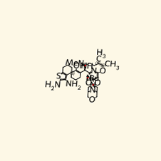 CNCCC[C@H](C)[C@H](C)Oc1cc(N2CC3COCC(C2)N3C(=O)OC(C)(C)C)nc(C(=N)C2=C(O)[C@@]3(CCC2)CCCc2sc(N)c(N)c23)n1